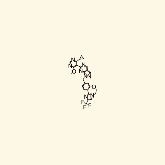 COc1ncnc(C2CC2)c1-c1ncc2cnn(Cc3ccc4c(c3)OCCn3cc(C(F)(F)F)nc3-4)c2n1